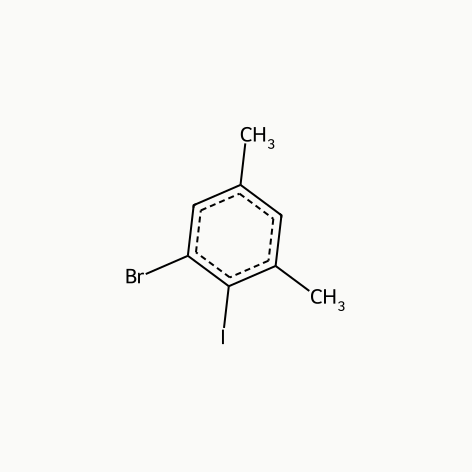 Cc1cc(C)c(I)c(Br)c1